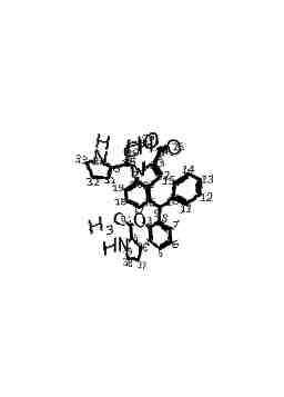 CC(Oc1ccccc1C(c1ccccc1)c1cccc2c1cc(C(=O)O)n2C(C)C1CCCN1)C1CCCN1